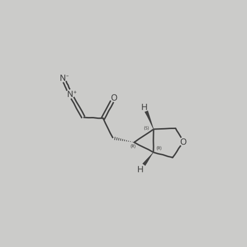 [N-]=[N+]=CC(=O)C[C@@H]1[C@@H]2COC[C@@H]21